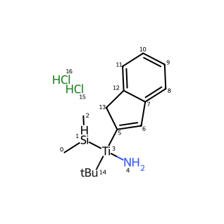 C[SiH](C)[Ti]([NH2])([C]1=Cc2ccccc2C1)[C](C)(C)C.Cl.Cl